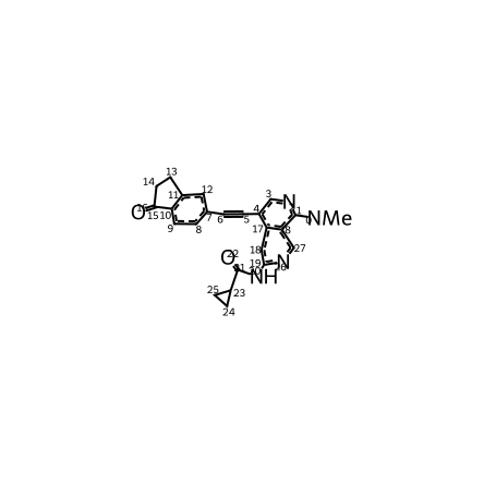 CNc1ncc(C#Cc2ccc3c(c2)CCC3=O)c2cc(NC(=O)C3CC3)ncc12